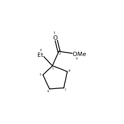 CCC1(C(=O)OC)CCCC1